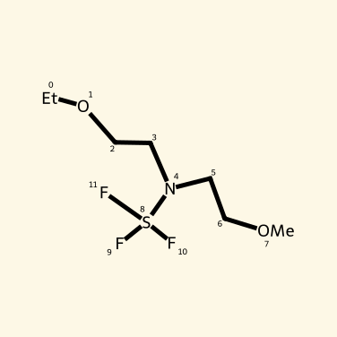 CCOCCN(CCOC)S(F)(F)F